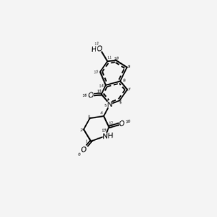 O=C1CCC(n2ccc3ccc(O)cc3c2=O)C(=O)N1